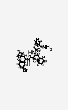 NCc1cnnn1CC(=O)N[C@@H](Cc1ccccc1)[C@@H](O)CN[C@H]1CC2(CCC2)Oc2ccc(Br)cc21